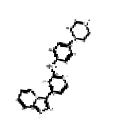 c1ccn2c(-c3ccnc(Nc4ccc(N5CCOCC5)cc4)n3)cnc2c1